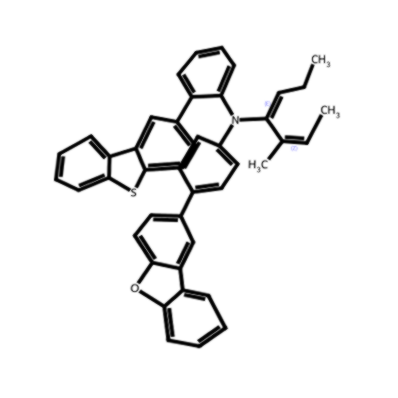 C/C=C(C)\C(=C/CC)N(c1ccc(-c2ccc3oc4ccccc4c3c2)cc1)c1ccccc1-c1ccc2sc3ccccc3c2c1